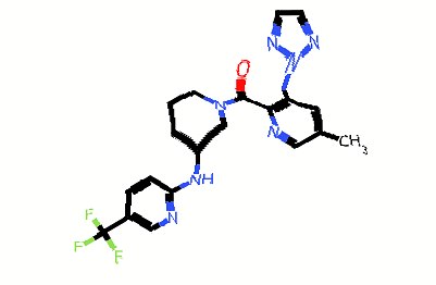 Cc1cnc(C(=O)N2CCCC(Nc3ccc(C(F)(F)F)cn3)C2)c(-n2nccn2)c1